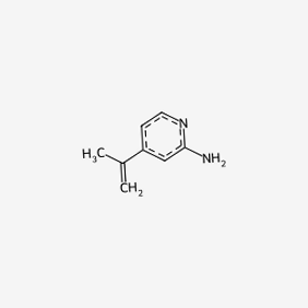 C=C(C)c1ccnc(N)c1